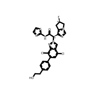 O=C(Nc1nccs1)[C@@H](c1ncn2c1C[C@@H](F)C2)n1cc2c(Cl)cc(-c3ccc(CCO)cc3)c(Cl)c2n1